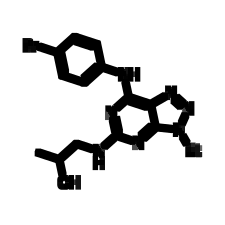 CCn1nnc2c(Nc3ccc(Br)cc3)nc(NCC(C)O)nc21